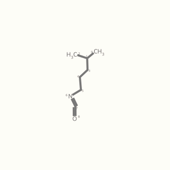 CC(C)CCCN=C=O